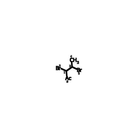 CC(=O)C(Br)C(C)Br